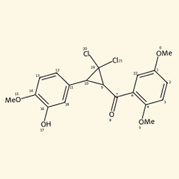 COc1ccc(OC)c(C(=O)C2C(c3ccc(OC)c(O)c3)C2(Cl)Cl)c1